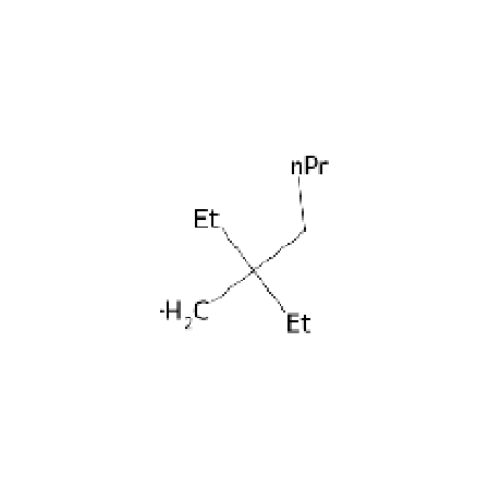 [CH2]CCCC([CH2])(CC)CC